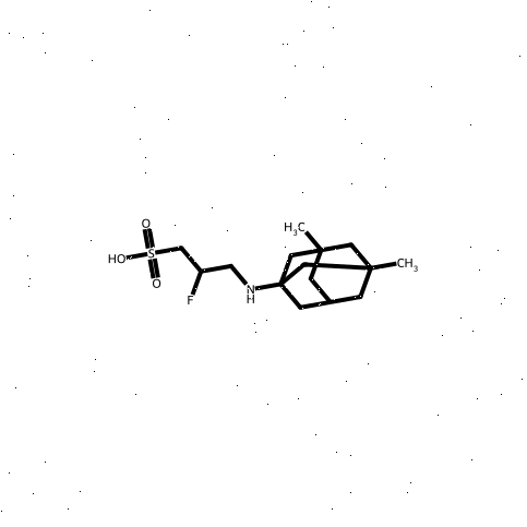 CC12CC3CC(C)(C1)CC(NCC(F)CS(=O)(=O)O)(C3)C2